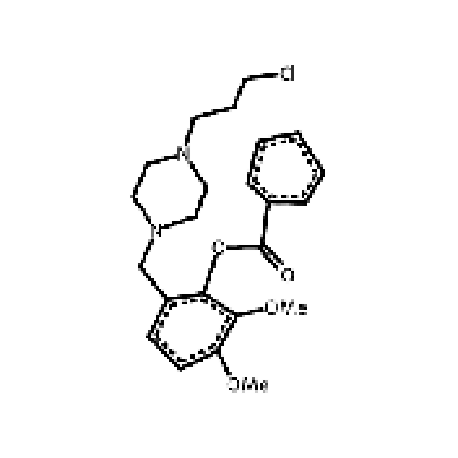 COc1ccc(CN2CCN(CCCCl)CC2)c(OC(=O)c2ccccc2)c1OC